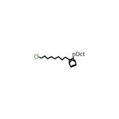 CCCCCCCCC1C2C=CC(C2)C1CCCCCCCCCl